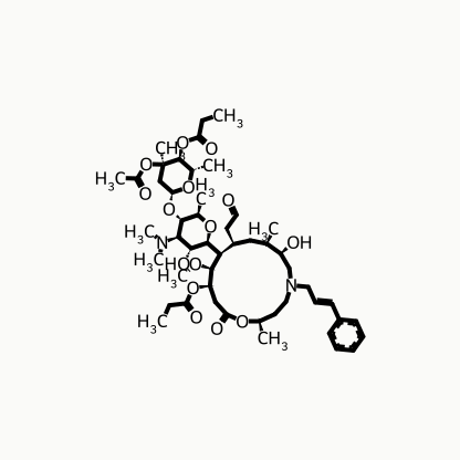 CCC(=O)O[C@@H]1CC(=O)O[C@H](C)CCN(C/C=C/c2ccccc2)C[C@H](O)[C@H](C)C[C@H](CC=O)[C@H]([C@@H]2O[C@H](C)[C@@H](O[C@@H]3C[C@@](C)(OC(C)=O)[C@@H](OC(=O)CC)[C@H](C)O3)[C@H](N(C)C)[C@H]2O)[C@@H]1OC